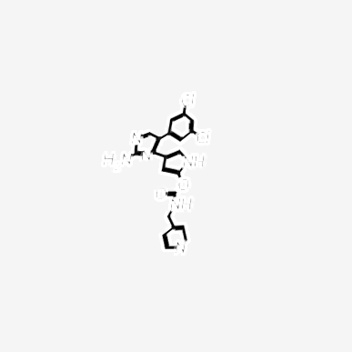 Nc1ncc(-c2cc(Cl)cc(Cl)c2)c(-c2c[nH]c(OC(=O)NCc3ccncc3)c2)n1